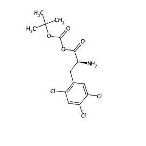 CC(C)(C)OC(=O)OC(=O)[C@@H](N)Cc1cc(Cl)c(Cl)cc1Cl